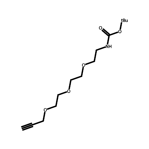 C#CCOCCOCCOCCNC(=O)OC(C)(C)C